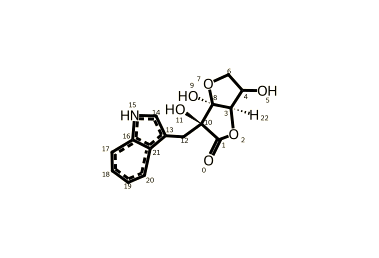 O=C1O[C@@H]2C(O)CO[C@]2(O)[C@@]1(O)Cc1c[nH]c2ccccc12